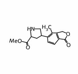 COC(=O)C1CNCC(c2ccc3c(c2C)COC3=O)C1